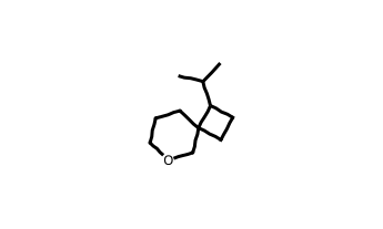 CC(C)C1CCC12CCCOC2